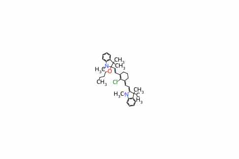 CCCCOC1(/C=C/C2=C(Cl)C(=C/C=C3\N(C)c4ccccc4C3(C)C)/CCC2)N(C)c2ccccc2C1(C)C